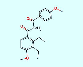 CCc1c(OC)ccc([C](=O)[GeH2][C](=O)c2ccc(OC)cc2)c1CC